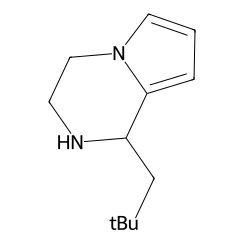 CC(C)(C)CC1NCCn2cccc21